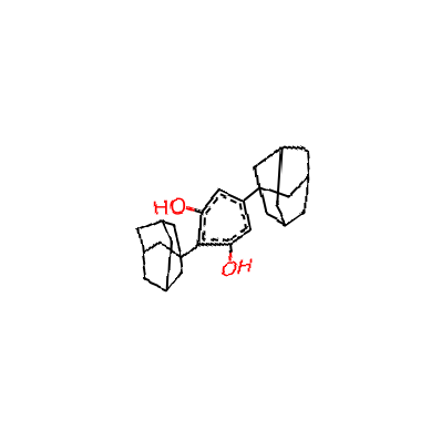 Oc1cc(C23CC4CC(CC(C4)C2)C3)cc(O)c1C12CC3CC(CC(C3)C1)C2